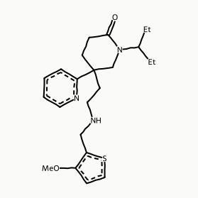 CCC(CC)N1CC(CCNCc2sccc2OC)(c2ccccn2)CCC1=O